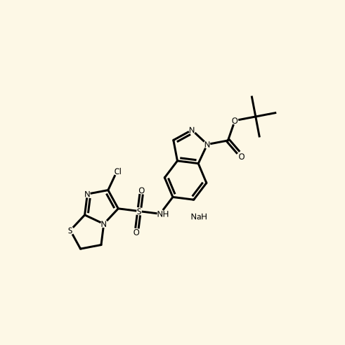 CC(C)(C)OC(=O)n1ncc2cc(NS(=O)(=O)c3c(Cl)nc4n3CCS4)ccc21.[NaH]